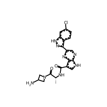 C[C@@H](NC(=O)c1c[nH]c2ncc(-c3n[nH]c4cc(Cl)ccc34)nc12)C(=O)N1CC(N)C1